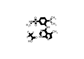 CNS(=O)(=O)c1ccc(N(C)C)c(Nc2nc[nH]c3ncc(C)c2-3)c1.O=C(O)C(F)(F)F